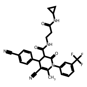 CC1=C(C#N)C(c2ccc(C#N)cc2)C(C(=O)NCCC(=O)NC2CC2)C(=O)N1c1cccc(C(F)(F)F)c1